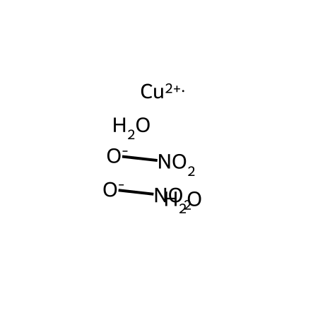 O.O.O=[N+]([O-])[O-].O=[N+]([O-])[O-].[Cu+2]